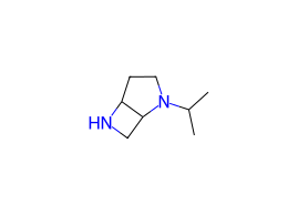 CC(C)N1CCC2NCC21